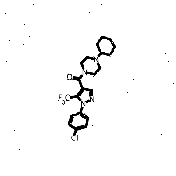 O=C(c1cnn(-c2ccc(Cl)cc2)c1C(F)(F)F)N1CCN(C2CCCCC2)CC1